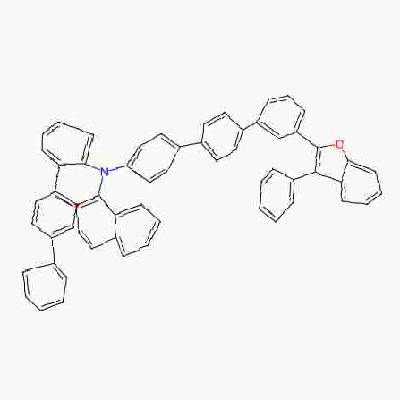 c1ccc(-c2ccc(-c3ccccc3N(c3ccc(-c4ccc(-c5cccc(-c6oc7ccccc7c6-c6ccccc6)c5)cc4)cc3)c3cccc4ccccc34)cc2)cc1